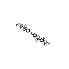 CCCC[C@H](F)C(=O)O[C@H]1CC[C@H](CCc2ccc(OC(=O)c3ccc(OCCC)c(F)c3)cc2)CC1